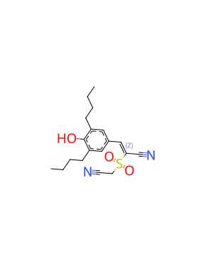 CCCCc1cc(/C=C(/C#N)S(=O)(=O)CC#N)cc(CCCC)c1O